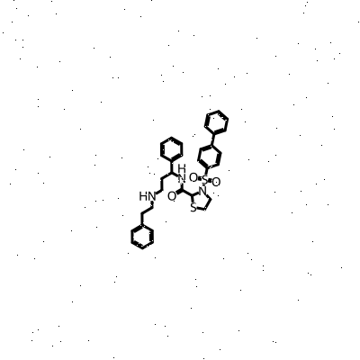 O=C(NC(CCNCCc1ccccc1)c1ccccc1)C1SCCN1S(=O)(=O)c1ccc(-c2ccccc2)cc1